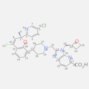 C[C@]1(c2ccc(Cl)cn2)C=C(F)c2cccc(C3CCN(Cc4nc5ccc(C(=O)O)nc5n4C[C@@H]4CCO4)CC3)c2O1